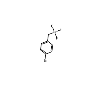 F[N+](F)(F)Cc1ccc(Br)cc1